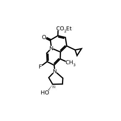 CCOC(=O)c1cc(C2CC2)c2c(C)c(N3CC[C@H](O)C3)c(F)cn2c1=O